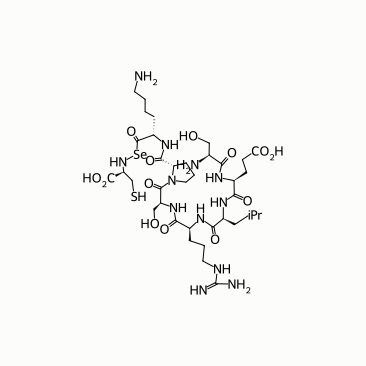 CC(C)C[C@H](NC(=O)[C@H](CCC(=O)O)NC(=O)[C@@H](N)CO)C(=O)N[C@@H](CCCNC(=N)N)C(=O)N[C@@H](CO)C(=O)N1CCC[C@H]1C(=O)N[C@@H](CCCCN)C(=O)[Se]N[C@@H](CS)C(=O)O